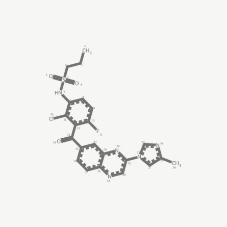 CCCS(=O)(=O)Nc1ccc(F)c(C(=O)c2ccc3ncc(-n4cnc(C)c4)nc3c2)c1Cl